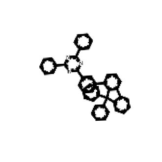 c1ccc(-c2nc(-c3ccccc3)nc(-c3cccc(-c4cccc5c4C(c4ccccc4)(c4ccccc4)c4ccccc4-5)c3)n2)cc1